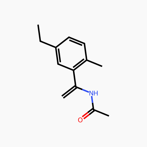 C=C(NC(C)=O)c1cc(CC)ccc1C